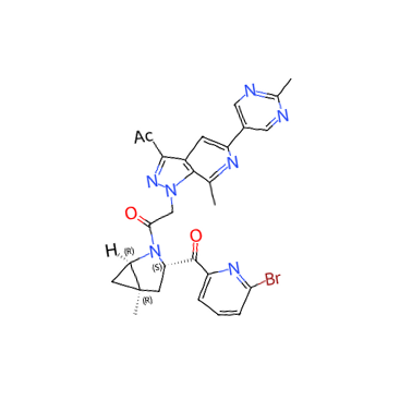 CC(=O)c1nn(CC(=O)N2[C@H](C(=O)c3cccc(Br)n3)C[C@@]3(C)C[C@@H]23)c2c(C)nc(-c3cnc(C)nc3)cc12